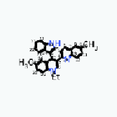 CCN1C=C(c2ccc3cc(C)ccc3n2)C(c2c[nH]c3ccccc23)c2cc(C)ccc21